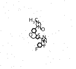 CN1CCN(C=O)C(c2ccc3c(c2)-c2sc(-c4ncnn4-c4ccc(F)cc4F)cc2CCO3)C1